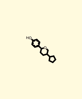 Oc1ccc(C2CCC(C3CCCC3)CO2)cc1